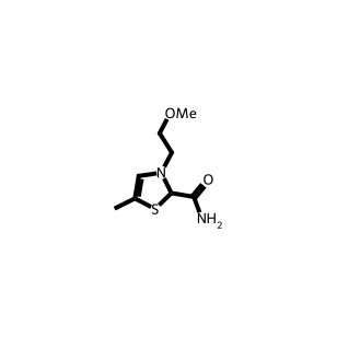 COCCN1C=C(C)SC1C(N)=O